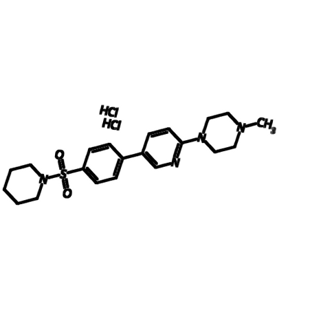 CN1CCN(c2ccc(-c3ccc(S(=O)(=O)N4CCCCC4)cc3)cn2)CC1.Cl.Cl